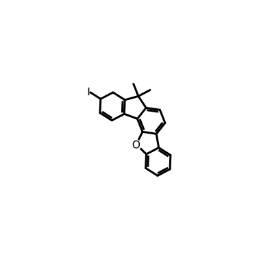 CC1(C)C2=C(C=CC(I)C2)c2c1ccc1c2oc2ccccc21